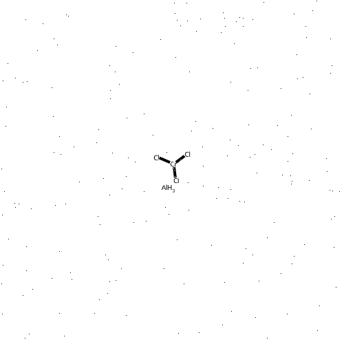 [AlH3].[Cl][Cr]([Cl])[Cl]